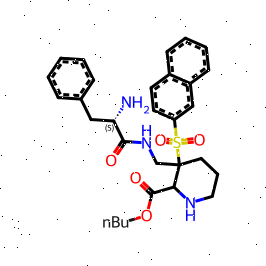 CCCCOC(=O)C1NCCCC1(CNC(=O)[C@@H](N)Cc1ccccc1)S(=O)(=O)c1ccc2ccccc2c1